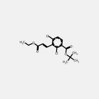 CCOC(=O)/C=C/c1c(Cl)ccc(C(=O)OC(C)(C)C)c1Cl